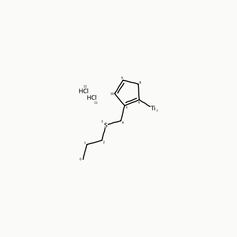 CCCSCC1=[C]([Ti])CC=C1.Cl.Cl